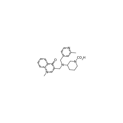 Cc1cc(CN(Cc2cn(C)c3ccccc3c2=O)C2CCCN(C(=O)O)C2)ccn1